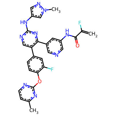 C=C(F)C(=O)Nc1cncc(-c2nc(Nc3cnn(C)c3)ncc2-c2ccc(Oc3nccc(C)n3)c(F)c2)c1